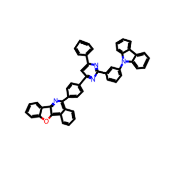 c1ccc(-c2cc(-c3ccc(-c4nc5c6ccccc6oc5c5ccccc45)cc3)nc(-c3cccc(-n4c5ccccc5c5ccccc54)c3)n2)cc1